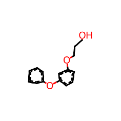 OCCCOc1cccc(Oc2ccccc2)c1